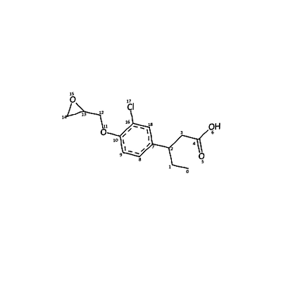 CCC(CC(=O)O)c1ccc(OCC2CO2)c(Cl)c1